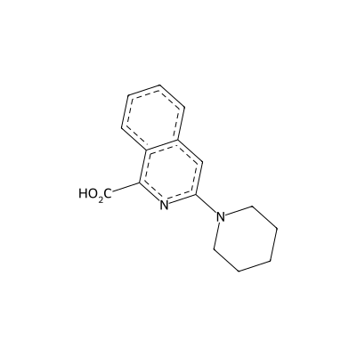 O=C(O)c1nc(N2CCCCC2)cc2ccccc12